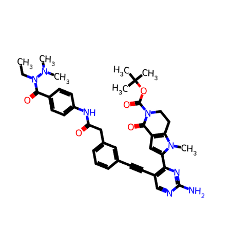 CCN(C(=O)c1ccc(NC(=O)Cc2cccc(C#Cc3cnc(N)nc3-c3cc4c(n3C)CCN(C(=O)OC(C)(C)C)C4=O)c2)cc1)N(C)C